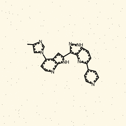 Cc1cn(-c2ccnc3[nH]c(-c4n[nH]c5ccc(-c6ccncc6)nc45)cc23)cn1